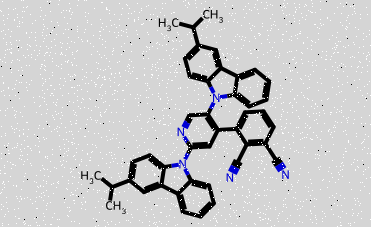 CC(C)c1ccc2c(c1)c1ccccc1n2-c1cc(-c2cccc(C#N)c2C#N)c(-n2c3ccccc3c3cc(C(C)C)ccc32)cn1